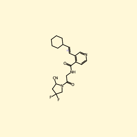 N#CC1CC(F)(F)CN1C(=O)CNC(=O)c1ccncc1/C=C/C1CCCCC1